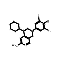 O=C(O)c1cc2c(cn1)CN(c1cc(F)c(Cl)c(F)c1)CC2C1CCCCC1